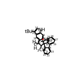 CCC(C)C(C)(C)C1(C(C)C(C)c2ccc3[nH]cc(C(C)(C)C)c3c2)c2ccccc2-c2ccccc21